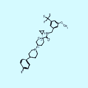 COc1cc(CNC(=O)[C@@]2(C3CC3)CC[C@@H](N3CCC(c4ccc(F)cc4)CC3)CO2)cc(C(F)(F)F)c1